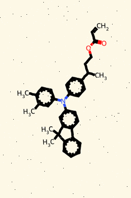 C=CC(=O)OCCC(C)c1ccc(N(c2ccc(C)c(C)c2)c2ccc3c(c2)C(C)(C)c2ccccc2-3)cc1